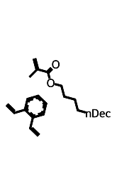 C=C(C)C(=O)OCCCCCCCCCCCCCC.C=Cc1ccccc1C=C